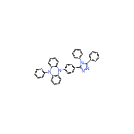 c1ccc(-c2nnc(-c3ccc(N4c5ccccc5N(c5ccccc5)c5ccccc54)cc3)n2-c2ccccc2)cc1